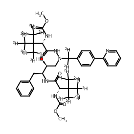 [2H]C([2H])(c1ccc(-c2ccccn2)cc1)N(C[C@H](O)[C@H](Cc1ccccc1)NC(=O)[C@@H](NC(=O)OC)C(C([2H])([2H])[2H])(C([2H])([2H])[2H])C([2H])([2H])[2H])NC(=O)[C@@H](NC(=O)OC)C(C([2H])([2H])[2H])(C([2H])([2H])[2H])C([2H])([2H])[2H]